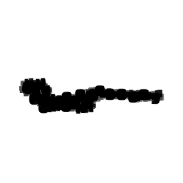 COc1cc2c(cc1OCCCOc1cc3c(cc1OC)C(=O)N1c4ccc(OCCOCCOCCOCCOCCSF)cc4C[C@H]1C=N3)N=C[C@@H]1Cc3ccccc3N1C2=O